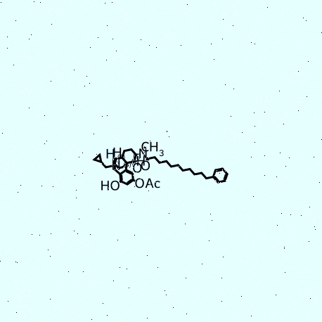 CC(=O)Oc1cc(O)c2c3c1O[C@H]1[C@@H](N(C)C(=O)CCCCCCCCCCc4ccccc4)CC[C@H]4[C@@H](C2)N(CC2CC2)CC[C@@]341